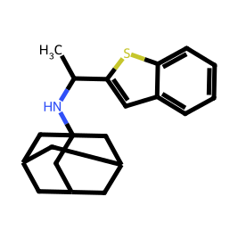 CC(NC12CC3CC(CC(C3)C1)C2)c1cc2ccccc2s1